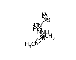 CCN1CCC(n2cc(Nc3cc(NCCCN4C=COC=CC4=O)c(C(F)(F)F)cn3)c(C)n2)CC1